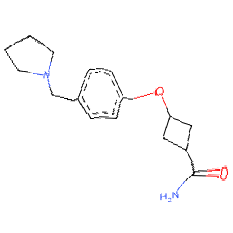 NC(=O)C1CC(Oc2ccc(CN3CCCC3)cc2)C1